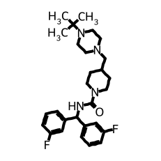 CC(C)(C)N1CCN(CC2CCN(C(=O)NC(c3cccc(F)c3)c3cccc(F)c3)CC2)CC1